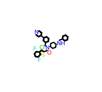 O=C(c1sc2c(F)ccc(F)c2c1Cl)N(Cc1cccc(-c2ccncc2)c1)[C@H]1CC[C@H](NCc2ccccc2)CC1